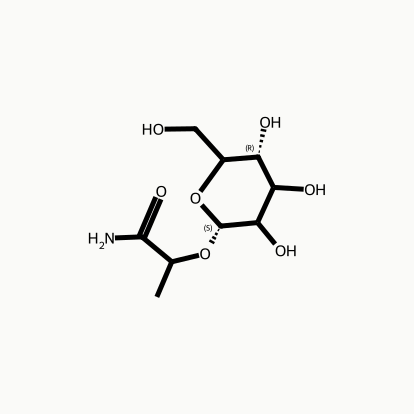 CC(O[C@@H]1OC(CO)[C@H](O)C(O)C1O)C(N)=O